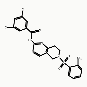 O=C(Nc1ncc2c(n1)CCN(S(=O)(=O)c1ccccc1C(F)(F)F)C2)c1cc(Cl)cc(Cl)c1